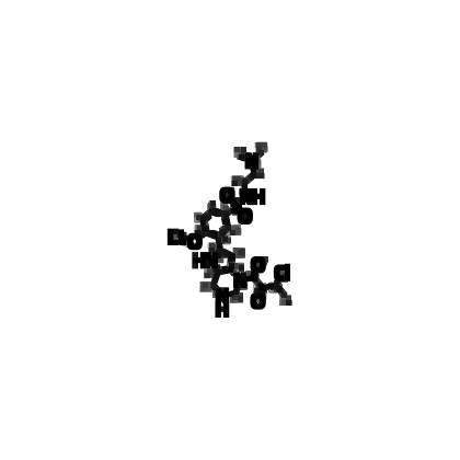 CCOc1ccc(S(=O)(=O)NCCN(C)C)cc1-c1cc2c([nH]1)CNCN2C(=O)C(=O)C(C)Cl